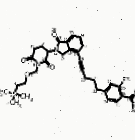 C[Si](C)(C)CCOCN1C(=O)CCC(N2Cc3c(C#CCCCc4ccc(C(N)=O)c(F)c4)cccc3C2=O)C1=O